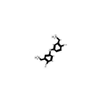 NCc1cc(Sc2ccc(F)c(CN)c2)ccc1F